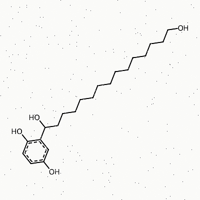 OCCCCCCCCCCCCCCC(O)c1cc(O)ccc1O